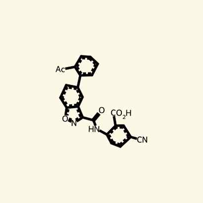 CC(=O)c1ccccc1-c1ccc2onc(C(=O)Nc3ccc(C#N)cc3C(=O)O)c2c1